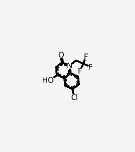 O=c1cc(O)c2cc(Cl)ccc2n1CC(F)(F)F